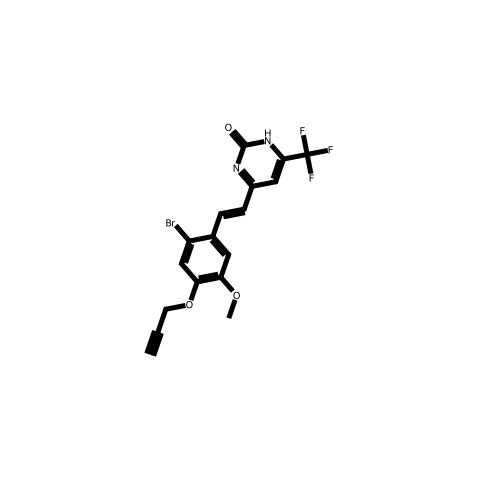 C#CCOc1cc(Br)c(C=Cc2cc(C(F)(F)F)[nH]c(=O)n2)cc1OC